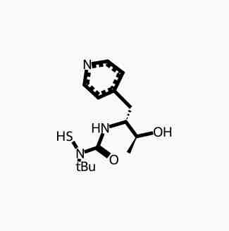 C[C@H](O)[C@@H](Cc1ccncc1)NC(=O)N(S)C(C)(C)C